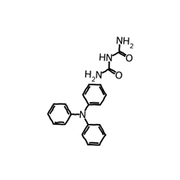 NC(=O)NC(N)=O.c1ccc(N(c2ccccc2)c2ccccc2)cc1